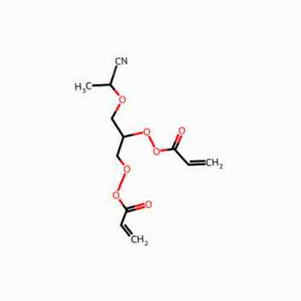 C=CC(=O)OOCC(COC(C)C#N)OOC(=O)C=C